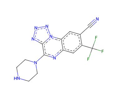 N#Cc1cc2c(cc1C(F)(F)F)nc(N1CCNCC1)c1nnnn12